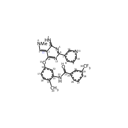 CN/C=C1\C(=N)N=C(c2cccnc2)N=C1Oc1ccc(C)c(NC(=O)c2cccc(C(F)(F)F)c2)c1